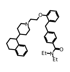 CCN(CC)C(=O)c1ccc(Cc2ccccc2OCCN2CCC(C3CCCc4ccccc43)CC2)cc1